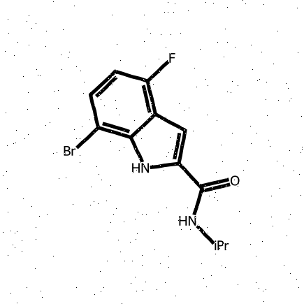 CC(C)NC(=O)c1cc2c(F)ccc(Br)c2[nH]1